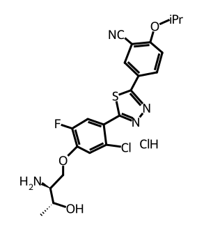 CC(C)Oc1ccc(-c2nnc(-c3cc(F)c(OC[C@H](N)[C@@H](C)O)cc3Cl)s2)cc1C#N.Cl